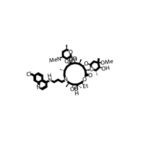 CC[C@H]1OC(=O)[C@H](C)[C@@H](O[C@H]2C[C@@](C)(OC)[C@@H](O)[C@H](C)O2)[C@H](C)[C@@H](O[C@@H]2O[C@H](C)C[C@H](NC)[C@H]2O)[C@](C)(O)C[C@@H](C)CN(CCCNc2ccnc3cc(Cl)ccc23)[C@H](C)[C@@H](O)[C@]1(C)O